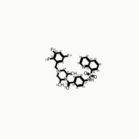 CC1CN(Cc2cc(F)cc(F)c2F)CC(C)N1C(=O)c1ccc(NS(=O)(=O)c2cccc3cccnc23)cc1